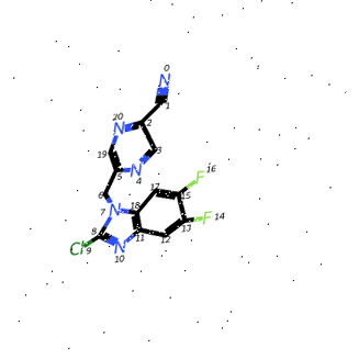 N#Cc1cnc(Cn2c(Cl)nc3cc(F)c(F)cc32)cn1